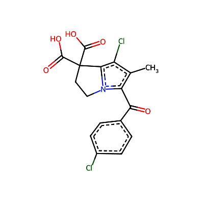 Cc1c(Cl)c2n(c1C(=O)c1ccc(Cl)cc1)CCC2(C(=O)O)C(=O)O